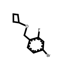 Fc1cc(Br)ccc1COC1CCC1